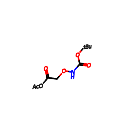 CC(=O)OC(=O)CONC(=O)OC(C)(C)C